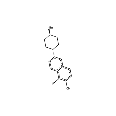 CCCC[C@H]1CC[C@H](c2ccc3c(F)c(C#N)ccc3c2)CC1